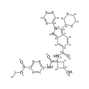 CCOC(=O)c1ccc(NC(=O)C2(NC(=O)c3ccc4c(C5CCCCC5)n(-c5ccccc5)nc4c3)CC(O)C2)cc1